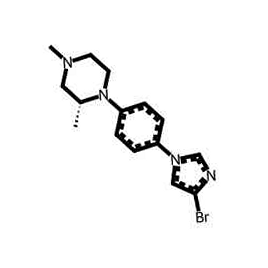 C[C@@H]1CN(C)CCN1c1ccc(-n2cnc(Br)c2)cc1